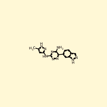 Cc1cc(Nc2nnc(-c3ccc4cn[nH]c4c3)c(N)n2)n[nH]1